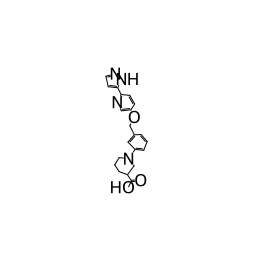 O=C(O)C1CCCN(c2cccc(COc3ccc(-c4ccn[nH]4)nc3)c2)C1